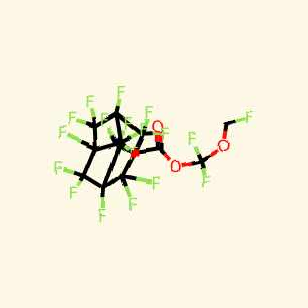 O=C(OC(F)(F)OCF)C12C(F)(F)C3(F)C(F)(F)C(F)(C(F)(F)C(F)(C3(F)F)C1(F)F)C2(F)F